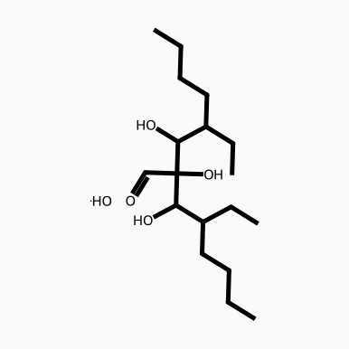 CCCCC(CC)C(O)C(O)(C=O)C(O)C(CC)CCCC.[OH]